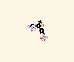 COc1c(-c2ccc(/C=N/NS(C)(=O)=O)cc2)cc(N2CCC(=O)NC2=O)cc1C(C)(C)C